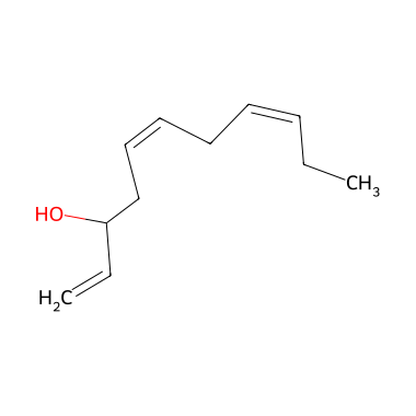 C=CC(O)C/C=C\C/C=C\CC